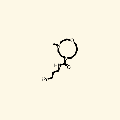 CC(C)CCCNC(=O)N1CCCCOCCN(C)CC1